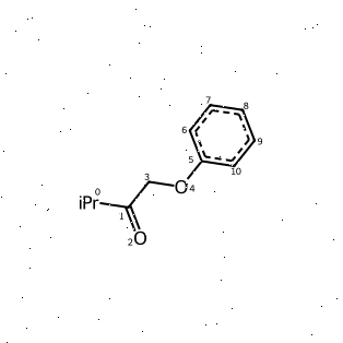 CC(C)C(=O)COc1ccccc1